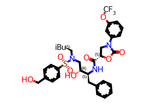 CC[C@H](C)CN(C[C@@H](O)[C@H](Cc1ccccc1)NC(=O)[C@@H]1CN(c2cccc(OC(F)(F)F)c2)C(=O)O1)S(=O)(=O)c1ccc(CO)cc1